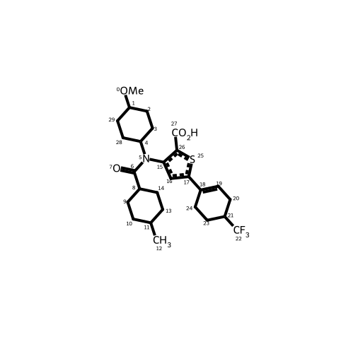 COC1CCC(N(C(=O)C2CCC(C)CC2)c2cc(C3=CCC(C(F)(F)F)CC3)sc2C(=O)O)CC1